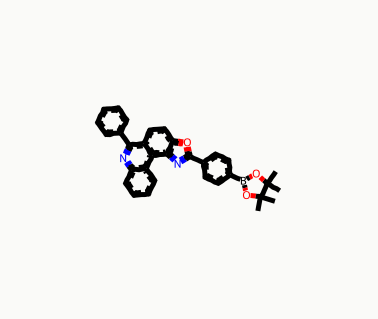 CC1(C)OB(c2ccc(-c3nc4c(ccc5c(-c6ccccc6)nc6ccccc6c54)o3)cc2)OC1(C)C